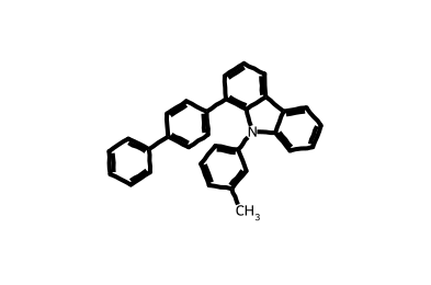 Cc1cccc(-n2c3ccccc3c3cccc(-c4ccc(-c5ccccc5)cc4)c32)c1